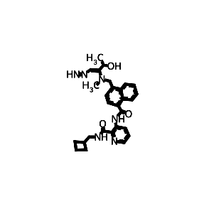 CC(O)/C(=C/N=N)N(C)Cc1ccc(C(=O)Nc2cccnc2C(=O)NCC2CCC2)c2ccccc12